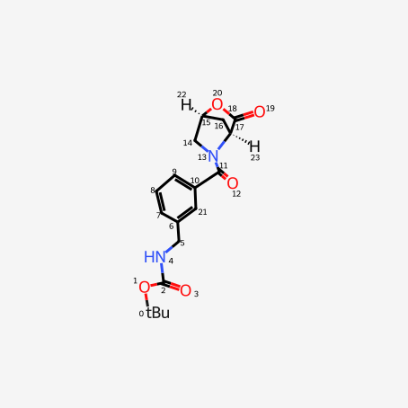 CC(C)(C)OC(=O)NCc1cccc(C(=O)N2C[C@@H]3C[C@H]2C(=O)O3)c1